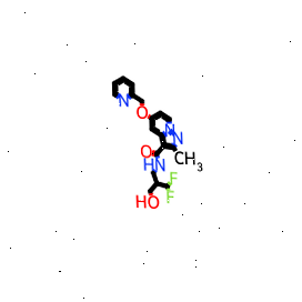 Cc1nn2ccc(OCc3ccccn3)cc2c1C(=O)NCC(CO)C(F)F